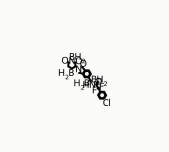 BC1CC(=O)N(B)C(=O)C1N1Cc2cc(C(B)(B)NC(=O)C(F)(F)c3ccc(Cl)cc3)ccc2C1=O